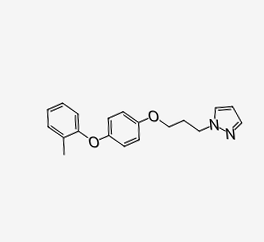 Cc1ccccc1Oc1ccc(OCCCn2cccn2)cc1